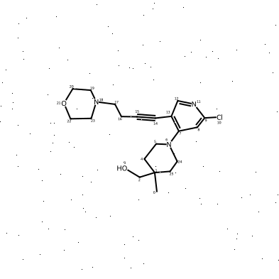 CC1(CO)CCN(c2cc(Cl)ncc2C#CCCN2CCOCC2)CC1